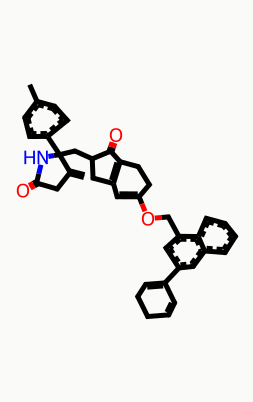 C=C1CC(=O)NC1(CC1CC2=C(CCC(OCc3cc(C4=CCCC=C4)cc4ccccc34)=C2)C1=O)c1ccc(C)cc1